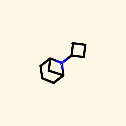 [CH]1CCC1N1C2CCCC1C2